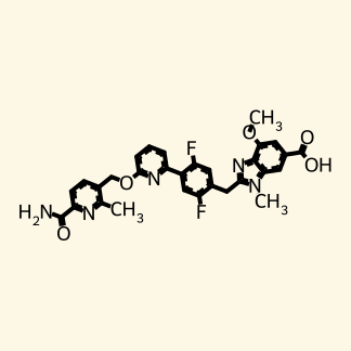 COc1cc(C(=O)O)cc2c1nc(Cc1cc(F)c(-c3cccc(OCc4ccc(C(N)=O)nc4C)n3)cc1F)n2C